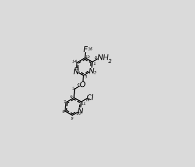 Nc1nc(OCc2cccnc2Cl)ncc1F